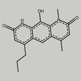 CCCc1cc(=O)[nH]c2c(O)c3c(cc12)c(C)cc(=O)n3C